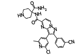 Cc1cc(-c2c(-c3cccc(C#N)c3)nn3ccc(C(=O)NC4(C(N)=O)CCNCC4)nc23)cc(Cl)n1